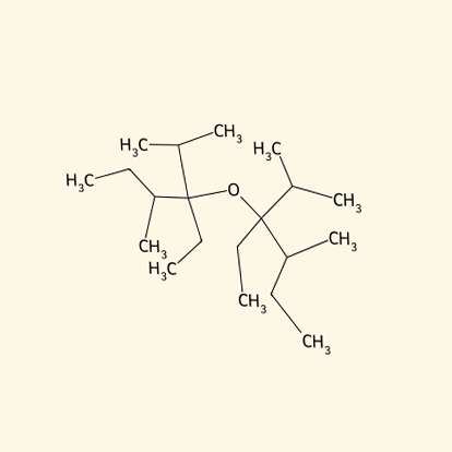 CCC(C)C(CC)(OC(CC)(C(C)C)C(C)CC)C(C)C